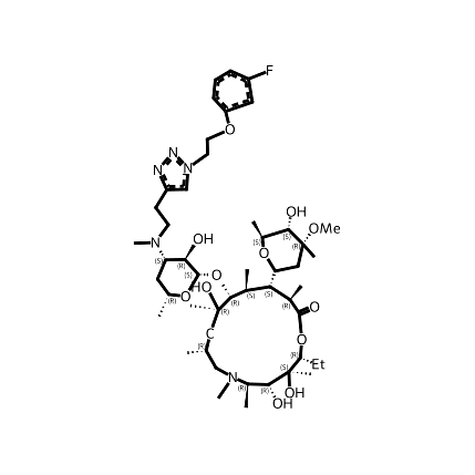 CC[C@H]1OC(=O)[C@H](C)[C@@H](C2C[C@@](C)(OC)[C@@H](O)[C@H](C)O2)[C@H](C)[C@@H](O[C@@H]2O[C@H](C)C[C@H](N(C)CCc3cn(CCOc4cccc(F)c4)nn3)[C@H]2O)[C@](C)(O)C[C@@H](C)CN(C)[C@H](C)[C@@H](O)[C@]1(C)O